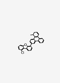 CC1CC=Cc2c1c1ccc(-c3cccc4c3oc3cccc(Cl)c34)cc1c1ccccc21